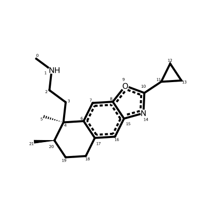 CNCC[C@@]1(C)c2cc3oc(C4CC4)nc3cc2CC[C@H]1C